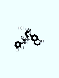 CC(C)(C)c1cc(NC(=O)Nc2cccc(Cl)c2Cl)n(-c2ccc3c(c2)CCCN3)n1.Cl